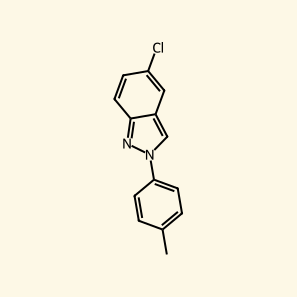 Cc1ccc(-n2cc3cc(Cl)ccc3n2)cc1